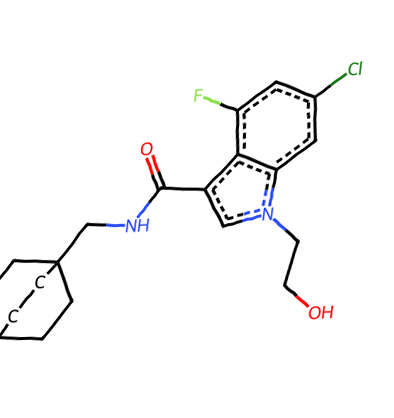 O=C(NCC12CCC(CC1)CC2)c1cn(CCO)c2cc(Cl)cc(F)c12